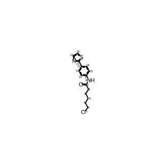 O=C(CCCCCCl)Nc1ccc(-c2nccs2)cc1